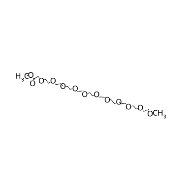 COCCOCCOCCOCCOCCOCCOCCOCCOCCOCCOCC(=O)OC